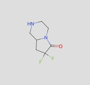 O=C1N2CCNCC2CC1(F)F